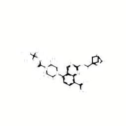 C[C@H]1CN(c2ccc(C(=O)O)c3nc(OCC45CC(CO4)C5)ncc23)C[C@H](C)N1C(=O)OC(C)(C)C